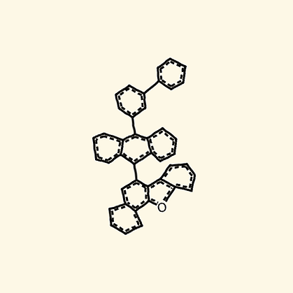 c1ccc(-c2cccc(-c3c4ccccc4c(-c4cc5ccccc5c5oc6ccccc6c45)c4ccccc34)c2)cc1